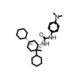 CN(C)c1ccc(NC(=O)N[C@H]2C[C@@H](C3CCCCC3)CCC2(C)C2CCCCC2)cc1